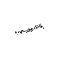 C=CC(=O)OCCCCOc1ccc(OC(=O)/C=C/c2ccc(OC(=O)C(=C)CO)cc2)cc1